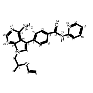 C=CSC(C)Cn1cc(-c2ccc(C(=O)Nc3ccccn3)cc2)c2c(N)ncnc21